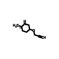 C#CCOC1CC[C@@H](C)NC1